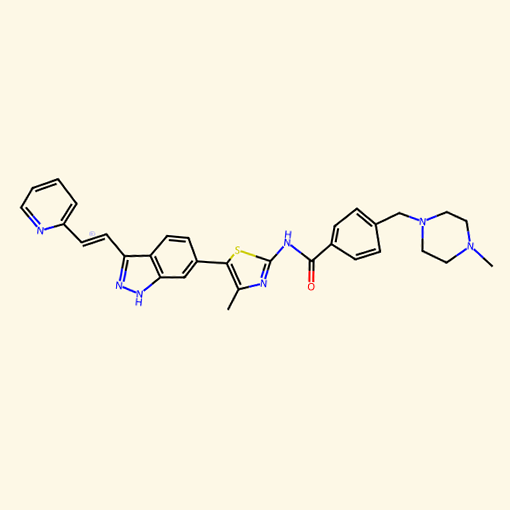 Cc1nc(NC(=O)c2ccc(CN3CCN(C)CC3)cc2)sc1-c1ccc2c(/C=C/c3ccccn3)n[nH]c2c1